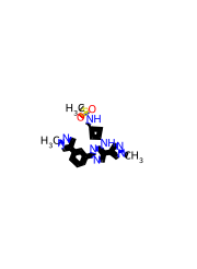 Cn1cc(-c2cccc(-c3ncc(-c4cnn(C)c4)c(N[C@H]4C[C@H](CNS(C)(=O)=O)C4)n3)c2)cn1